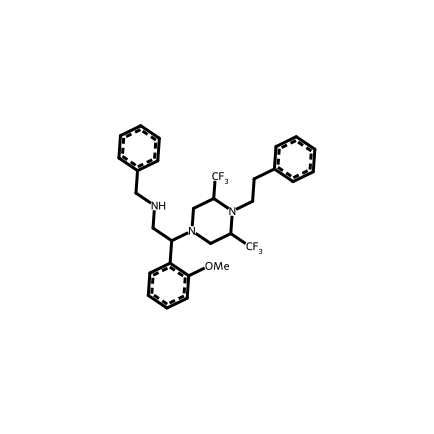 COc1ccccc1C(CNCc1ccccc1)N1CC(C(F)(F)F)N(CCc2ccccc2)C(C(F)(F)F)C1